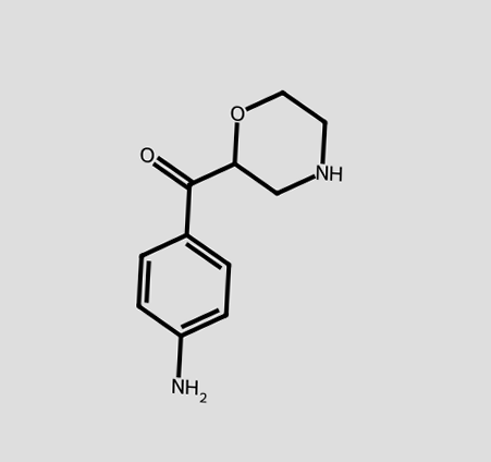 Nc1ccc(C(=O)C2CNCCO2)cc1